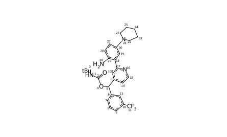 CC(C)(C)NC(=O)OC(c1cccc(C(F)(F)F)c1)c1ccnc(-c2cc(N3CCCCC3)ccc2N)c1